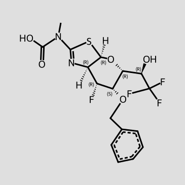 CN(C(=O)O)C1=N[C@@H]2[C@@H](F)[C@@H](OCc3ccccc3)[C@@H]([C@@H](O)C(F)(F)F)O[C@@H]2S1